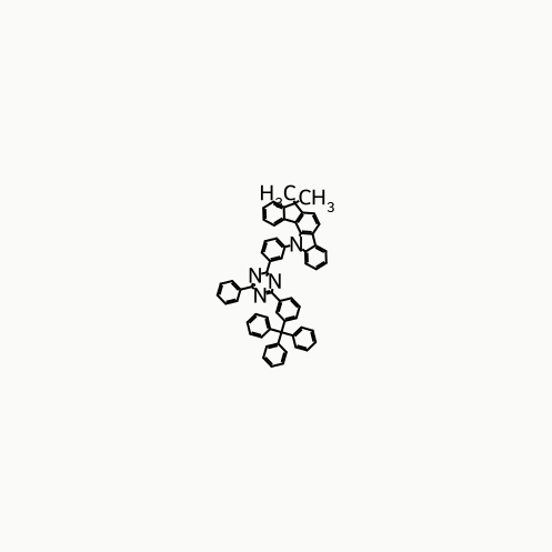 CC1(C)c2ccccc2-c2c1ccc1c3ccccc3n(-c3cccc(-c4nc(-c5ccccc5)nc(-c5cccc(C(c6ccccc6)(c6ccccc6)c6ccccc6)c5)n4)c3)c21